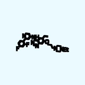 C=Cc1cc2c(Nc3ccnc(-c4ccc(F)cc4F)c3)ncnc2cc1OCCCN1CCN(CC)CC1